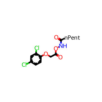 CCCCCC(=O)NOC(=O)COc1ccc(Cl)cc1Cl